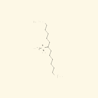 CCCCCCCCCCCCCCCCC(CCCCCCCCCCCCCCC)S([NH])(=O)=O